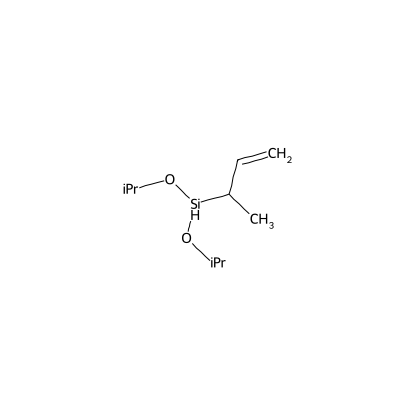 C=CC(C)[SiH](OC(C)C)OC(C)C